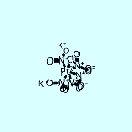 O=[N+]([O-])[Pt-2]([Cl])([N+](=O)[O-])([N+](=O)[O-])([N+](=O)[O-])[N+](=O)[O-].[K+].[K+]